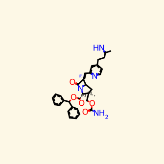 CC(=N)CCc1ccnc(/C=C2/C(=O)N3C2C[C@@](C)(COC(N)=O)[C@@H]3C(=O)OC(c2ccccc2)c2ccccc2)c1